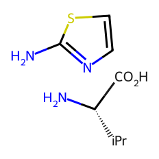 CC(C)[C@H](N)C(=O)O.Nc1nccs1